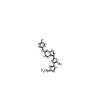 CC(=O)c1sc(-c2cnn3cc(Oc4ccc(C)nn4)ccc23)nc1-c1cnn(CC(F)(F)F)n1